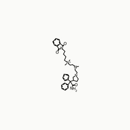 CN(CCN1CCC(C(C(N)=O)(c2ccccc2)c2ccccc2)C1)CC[N+](C)(C)CCCCN1C(=O)c2ccccc2C1=O